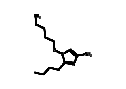 CCCCc1nc(N)cn1OCCCCN